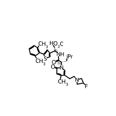 Cc1cc(=O)n([C@@H](CC(C)C)C(=O)N[C@@H](CC(=O)O)c2csc(-c3c(C)cccc3C)c2)cc1CCN1CC(F)C1